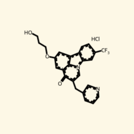 Cl.O=c1c(Cc2cccnc2)cn2c3cc(C(F)(F)F)ccc3c3cc(OCCCO)cc1c32